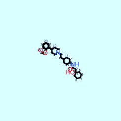 O=C(CC1(O)CCCCC1)NC1CCC(CCN2CCC(c3cccc4c3OCO4)CC2)CC1